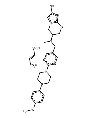 CN(Cc1cnc(N2CCN(c3ccc(OC(F)(F)F)cc3)CC2)nc1)[C@@H]1COc2nc([N+](=O)[O-])cn2C1.O=C(O)/C=C/C(=O)O